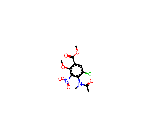 COC(=O)c1cc(Cl)c(N(C)C(C)=O)c([N+](=O)[O-])c1OC